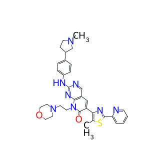 Cc1sc(-c2ccccn2)nc1-c1cc2cnc(Nc3ccc(C4CCN(C)C4)cc3)nc2n(CCN2CCOCC2)c1=O